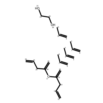 C=CC.C=CC.C=CC.C=CC.C=CCC(=C)OC(=C)CC=C.OCCO